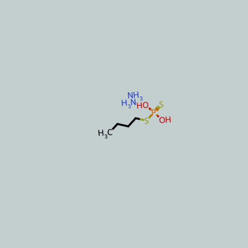 CCCCSP(O)(O)=S.N.N